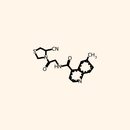 Cc1ccc2nccc(C(=O)NCC(=O)N3CSCC3C#N)c2c1